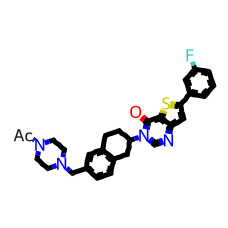 CC(=O)N1CCN(Cc2ccc3c(c2)CCC(n2cnc4cc(-c5cccc(F)c5)sc4c2=O)C3)CC1